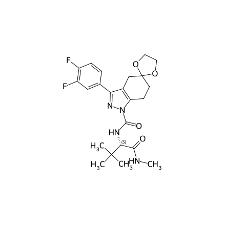 CNC(=O)[C@@H](NC(=O)n1nc(-c2ccc(F)c(F)c2)c2c1CCC1(C2)OCCO1)C(C)(C)C